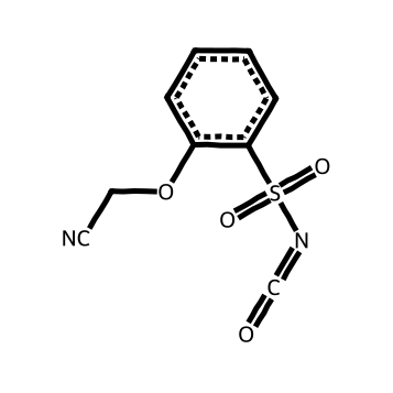 N#CCOc1ccccc1S(=O)(=O)N=C=O